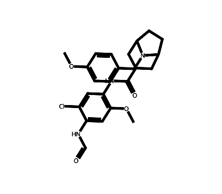 COc1ccc(CN2C3CCC2CC(C(=O)Nc2cc(Cl)c(NC=O)cc2OC)C3)cc1